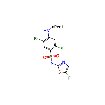 CCCCCNc1cc(F)c(S(=O)(=O)Nc2ncc(F)s2)cc1Br